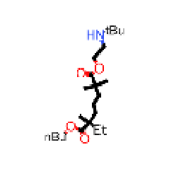 CCCCOC(=O)C(C)(CC)CCCC(C)(C)C(=O)OCCNC(C)(C)C